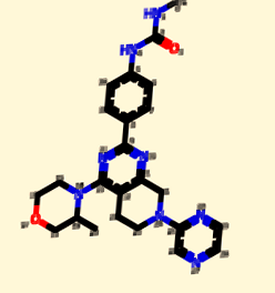 CCNC(=O)Nc1ccc(-c2nc3c(c(N4CCOCC4C)n2)CCN(c2cnccn2)C3)cc1